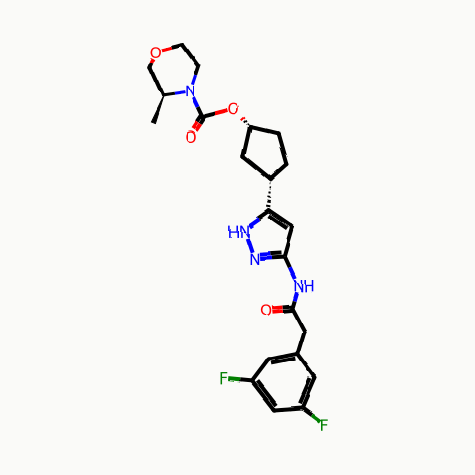 C[C@H]1COCCN1C(=O)O[C@@H]1CC[C@H](c2cc(NC(=O)Cc3cc(F)cc(F)c3)n[nH]2)C1